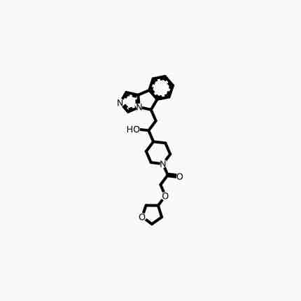 O=C(COC1CCOC1)N1CCC(C(O)CC2c3ccccc3-c3cncn32)CC1